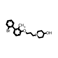 Cc1c(OCCCN2CCC(O)CC2)cccc1-c1ccccc1Br